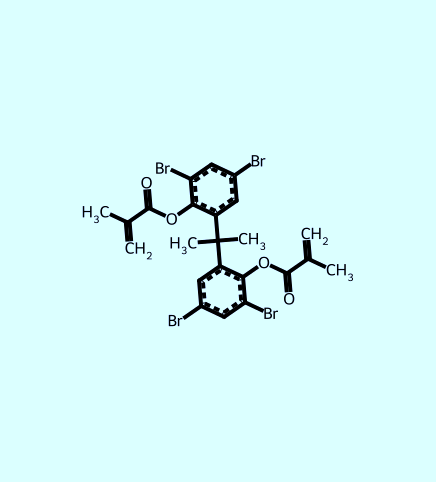 C=C(C)C(=O)Oc1c(Br)cc(Br)cc1C(C)(C)c1cc(Br)cc(Br)c1OC(=O)C(=C)C